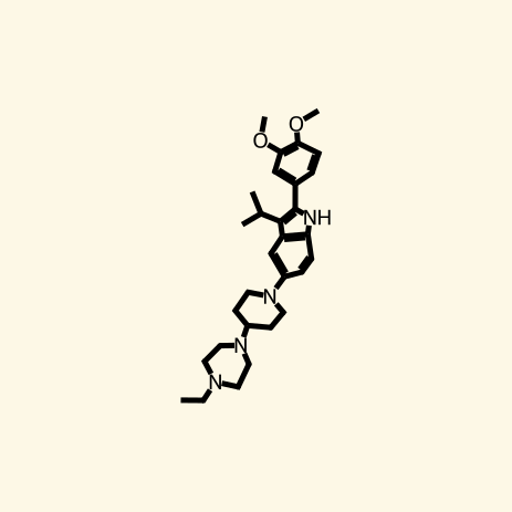 CCN1CCN(C2CCN(c3ccc4[nH]c(-c5ccc(OC)c(OC)c5)c(C(C)C)c4c3)CC2)CC1